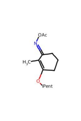 CCCC(C)OC1=C(C)/C(=N/OC(C)=O)CCC1